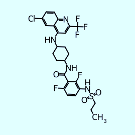 CCCS(=O)(=O)Nc1ccc(F)c(C(=O)NC2CCC(Nc3cc(C(F)(F)F)nc4ccc(Cl)cc34)CC2)c1F